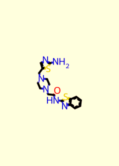 Nc1ncc(CN2CCN(CC(=O)Nc3nc4ccccc4s3)CC2)s1